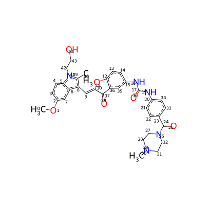 COc1ccc2c(c1)c(/C=C1\Oc3ccc(NC(=O)Nc4ccc(C(=O)N5CCN(C)CC5)cc4)cc3C1=O)c(C)n2CCO